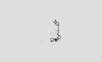 COc1cccc(S(=O)(=O)Nc2cccc([C@@H](O)CNCCOc3ccc4c(Cl)n[nH]c4c3)c2)c1